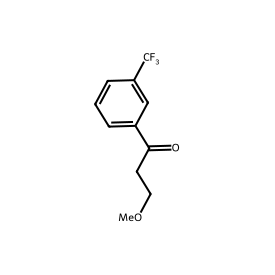 COCCC(=O)c1cccc(C(F)(F)F)c1